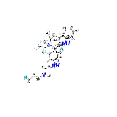 CC(F)CN1[C@H](c2c(F)cc(NC3CN(CCCF)C3)cc2F)c2[nH]c3ccccc3c2CC1(C)C